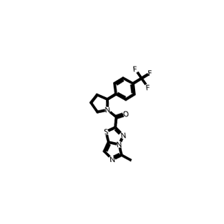 Cc1ncc2sc(C(=O)N3CCCC3c3ccc(C(F)(F)F)cc3)nn12